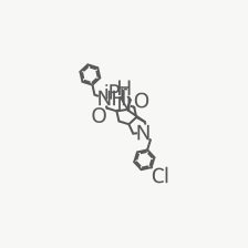 CC(C)CC1C2C3C(=O)NC1(C(=O)NCc1ccccc1)CC3CN2Cc1cccc(Cl)c1